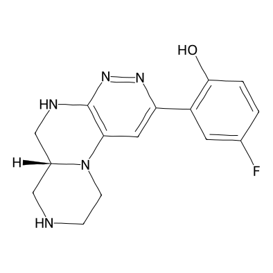 Oc1ccc(F)cc1-c1cc2c(nn1)NC[C@H]1CNCCN21